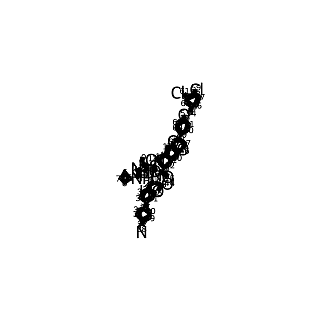 Cc1nc(NC2CCC2)sc1S(=O)(=O)N1Cc2cc3c(cc2C[C@H]1C(=O)NC(Cc1ccc(-c2ccc(C#N)cc2)cc1)C(=O)O)OC[C@H](c1ccc(OCc2ccc(Cl)c(Cl)c2)cc1)O3